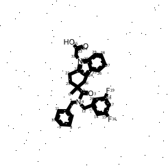 CC1(C(=O)N(Cc2ccccc2)Cc2cc(F)cc(F)c2)CCc2c(c3ccccc3n2CC(=O)O)C1